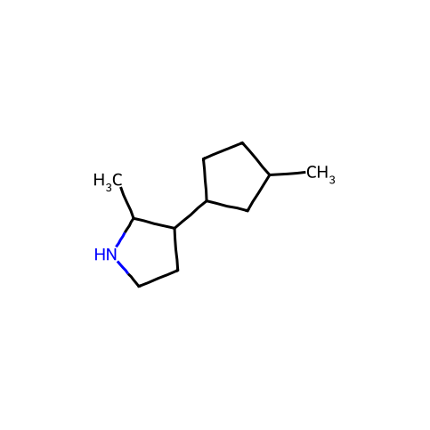 CC1CCC(C2CCNC2C)C1